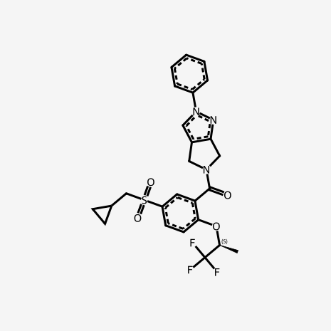 C[C@H](Oc1ccc(S(=O)(=O)CC2CC2)cc1C(=O)N1Cc2cn(-c3ccccc3)nc2C1)C(F)(F)F